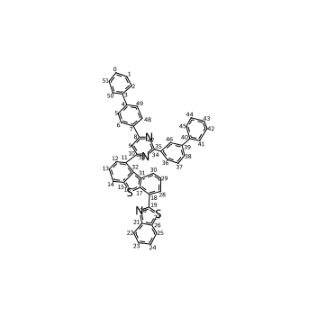 c1ccc(-c2ccc(-c3cc(-c4cccc5sc6c(-c7nc8ccccc8s7)cccc6c45)nc(-c4cccc(-c5ccccc5)c4)n3)cc2)cc1